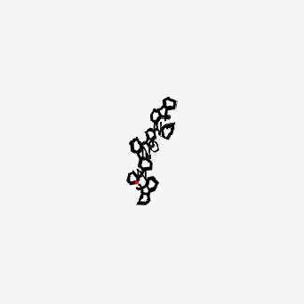 CC1(C)c2ccccc2-c2cccc(N(c3ccccc3)c3ccc4c(c3)oc3c4c4cccc5c6cc(N(c7ccccc7)c7cccc8c7C(C)(C)c7ccccc7-8)ccc6n3c54)c21